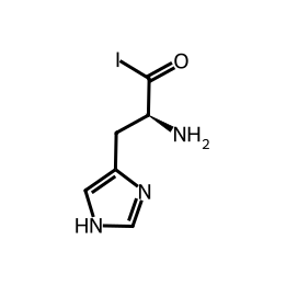 N[C@@H](Cc1c[nH]cn1)C(=O)I